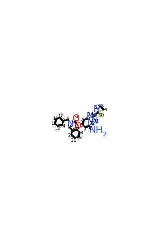 Nc1cc(OC(=O)N(Cc2ccccc2)Cc2ccccc2)cc2nc(-c3nccs3)nn12